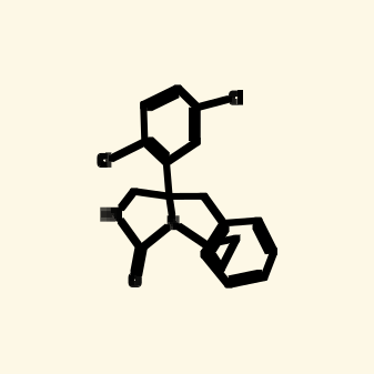 O=C1NCC(Cc2ccccc2)(c2cc(Cl)ccc2Cl)N1C1CC1